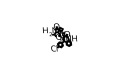 CC(C)CC(C(=O)N(C)C1N=C(c2ccc(Cl)cc2)c2ccccc2NC1=O)C1(C(N)=O)CCC1